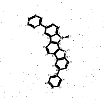 In1c2ccc(-c3ccccc3)cc2c2ccc3c4cc(-c5ccccc5)ccc4sc3c21